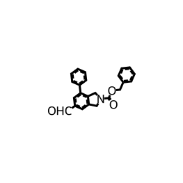 O=Cc1cc2c(c(-c3ccccc3)c1)CN(C(=O)OCc1ccccc1)C2